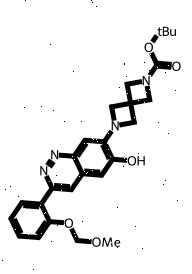 COCOc1ccccc1-c1cc2cc(O)c(N3CC4(CN(C(=O)OC(C)(C)C)C4)C3)cc2nn1